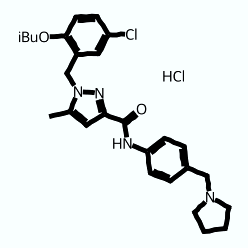 Cc1cc(C(=O)Nc2ccc(CN3CCCC3)cc2)nn1Cc1cc(Cl)ccc1OCC(C)C.Cl